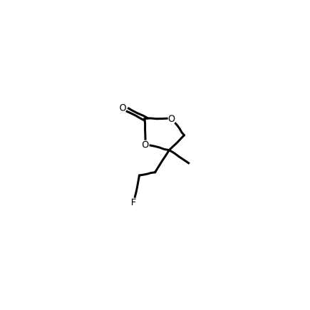 CC1(CCF)COC(=O)O1